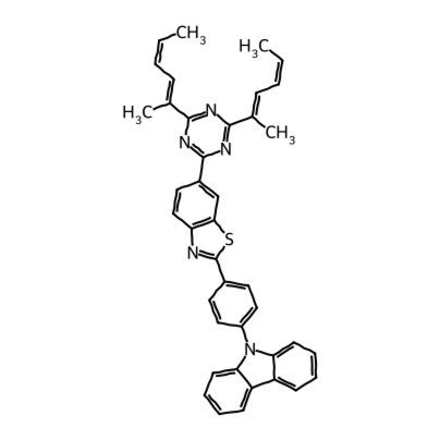 C/C=C\C=C(/C)c1nc(/C(C)=C/C=C\C)nc(-c2ccc3nc(-c4ccc(-n5c6ccccc6c6ccccc65)cc4)sc3c2)n1